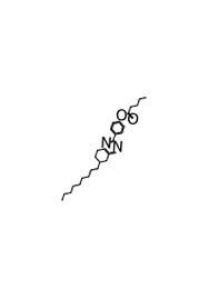 CCCCCCCCCC1CCc2nc(-c3ccc(OC(=O)CCCC)cc3)ncc2C1